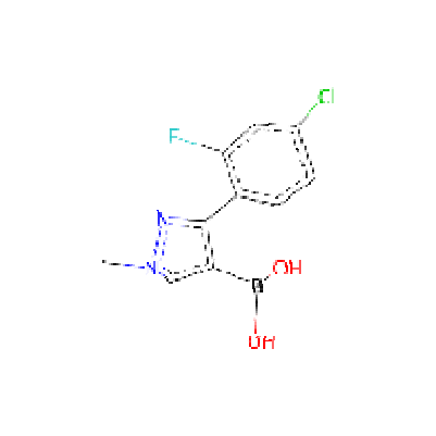 Cn1cc(B(O)O)c(-c2ccc(Cl)cc2F)n1